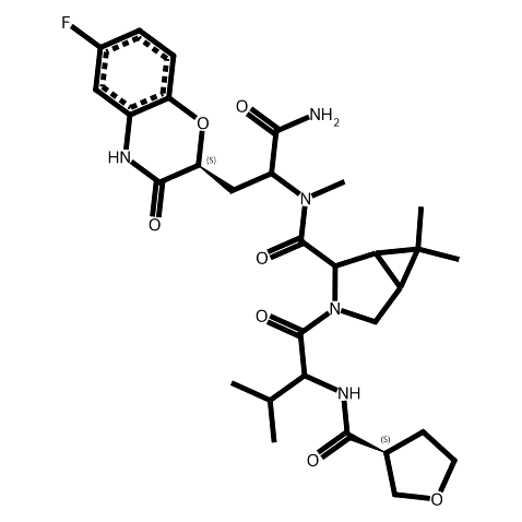 CC(C)C(NC(=O)[C@H]1CCOC1)C(=O)N1CC2C(C1C(=O)N(C)C(C[C@@H]1Oc3ccc(F)cc3NC1=O)C(N)=O)C2(C)C